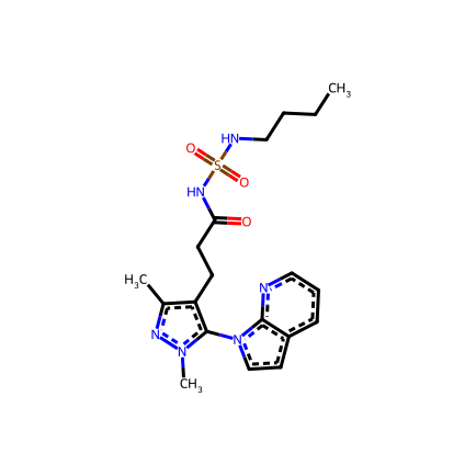 CCCCNS(=O)(=O)NC(=O)CCc1c(C)nn(C)c1-n1ccc2cccnc21